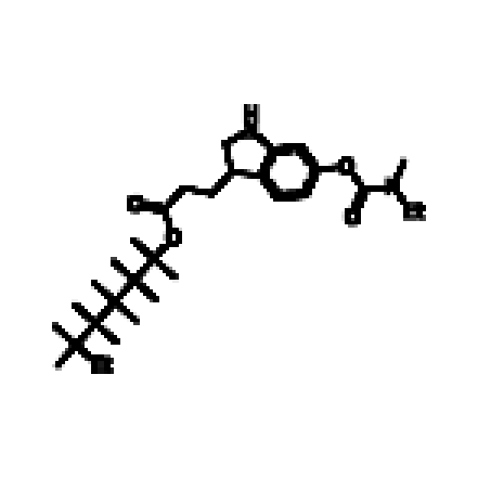 CCN(C)C(=O)Oc1ccc2c(c1)NCC2CCC(=O)OC(C)(C)C(C)(C)C(C)(C)C(C)(C)C(C)(C)CC